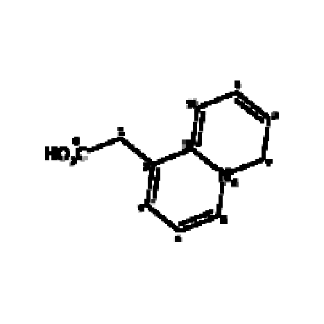 O=C(O)CC1=CC=CN2CC=CC=C12